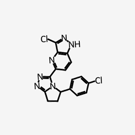 Clc1ccc(C2CCc3nnc(-c4ccc5[nH]nc(Cl)c5n4)n32)cc1